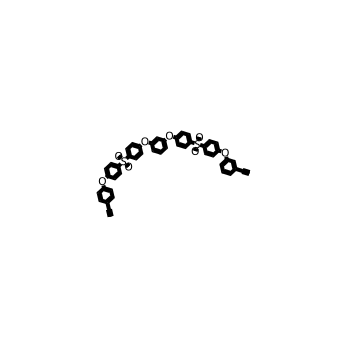 C#Cc1ccc(Oc2ccc(S(=O)(=O)c3ccc(Oc4cccc(Oc5ccc(S(=O)(=O)c6ccc(Oc7cccc(C#C)c7)cc6)cc5)c4)cc3)cc2)cc1